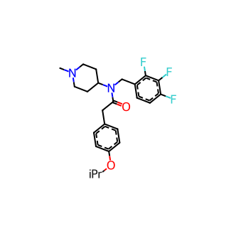 CC(C)Oc1ccc(CC(=O)N(Cc2ccc(F)c(F)c2F)C2CCN(C)CC2)cc1